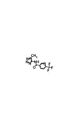 Cn1nnnc1NC(=O)c1ccc(C(F)(F)F)nc1